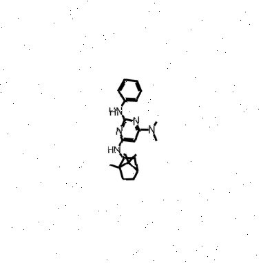 CN(C)c1cc(NC2CC3CCC2(C)C3(C)C)nc(Nc2ccccc2)n1